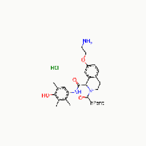 CCCCCC(=O)N1CCc2ccc(OCCN)cc2C1C(=O)Nc1cc(C)c(O)c(C)c1C.Cl